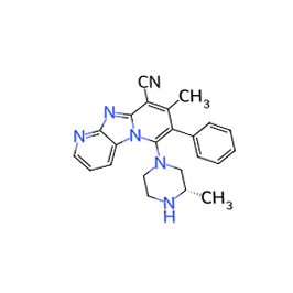 Cc1c(-c2ccccc2)c(N2CCN[C@@H](C)C2)n2c(nc3ncccc32)c1C#N